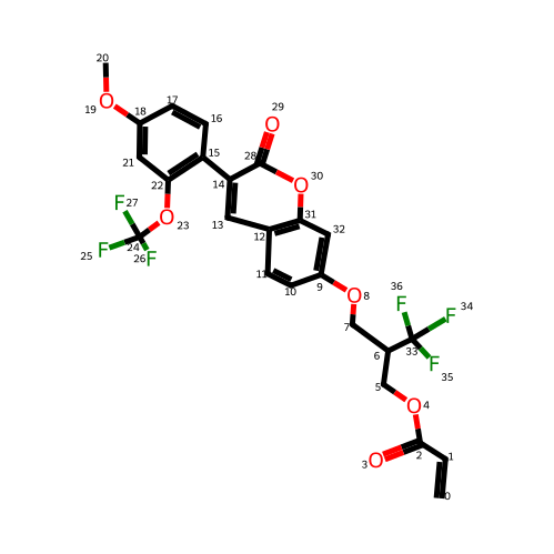 C=CC(=O)OCC(COc1ccc2cc(-c3ccc(OC)cc3OC(F)(F)F)c(=O)oc2c1)C(F)(F)F